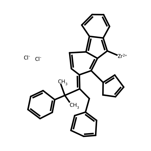 CC(C)(C(Cc1ccccc1)=c1ccc2c(c1C1=CC=CC1)[C]([Zr+2])=c1ccccc1=2)c1ccccc1.[Cl-].[Cl-]